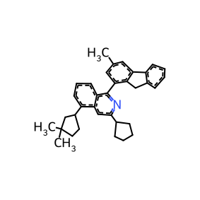 Cc1cc2c(c(-c3nc(C4CCCC4)cc4c(C5CCC(C)(C)C5)cccc34)c1)Cc1ccccc1-2